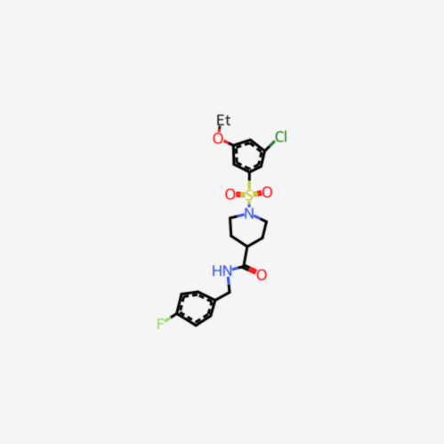 CCOc1cc(Cl)cc(S(=O)(=O)N2CCC(C(=O)NCc3ccc(F)cc3)CC2)c1